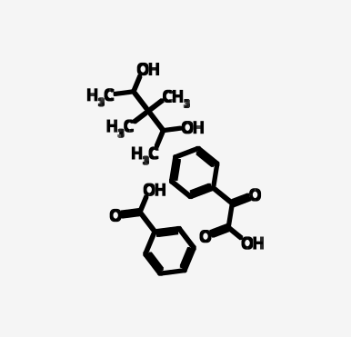 CC(O)C(C)(C)C(C)O.O=C(O)C(=O)c1ccccc1.O=C(O)c1ccccc1